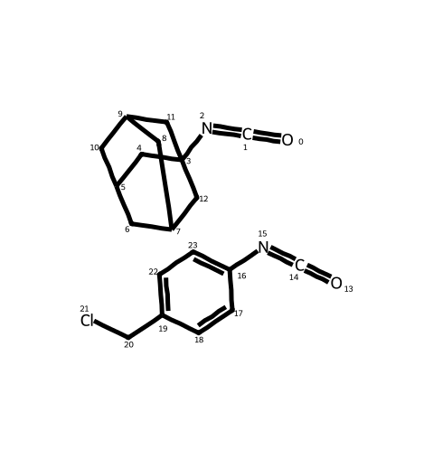 O=C=NC12CC3CC(CC(C3)C1)C2.O=C=Nc1ccc(CCl)cc1